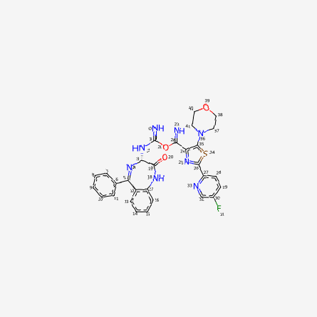 N=C(N[C@H]1N=C(c2ccccc2)c2ccccc2NC1=O)OC(=N)c1nc(-c2ccc(F)cn2)sc1N1CCOCC1